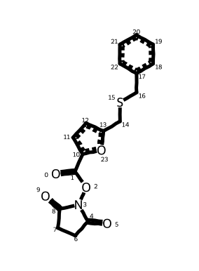 O=C(ON1C(=O)CCC1=O)c1ccc(CSCc2ccccc2)o1